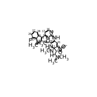 CNC1(CCN(C)C)NC(OC)=C(Nc2nccc(-c3cn(C)c4c(F)cccc34)n2)C=C1[N+](=O)[O-]